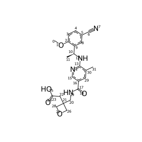 COc1ccc(C#N)cc1[C@H](C)Nc1ncc(C(=O)NCC2(CC(=O)O)COC2)cc1C